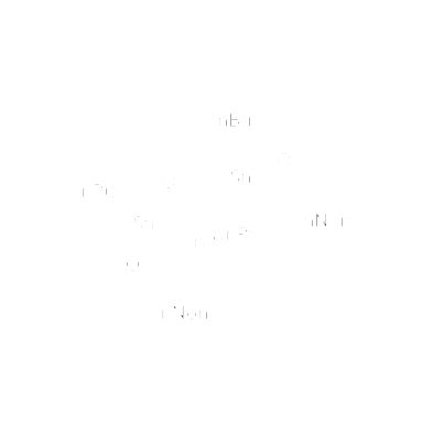 CCCCCCCCC[O][Sn]([CH2]CC)([CH2]CCC)[O][Sn]([CH2]CC)([CH2]CCC)[O]CCCCCCCCC